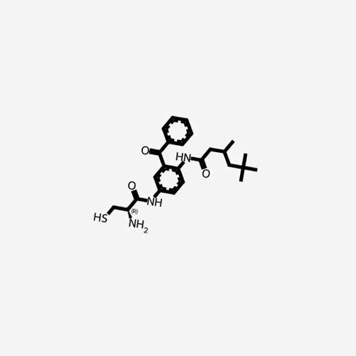 CC(CC(=O)Nc1ccc(NC(=O)[C@@H](N)CS)cc1C(=O)c1ccccc1)CC(C)(C)C